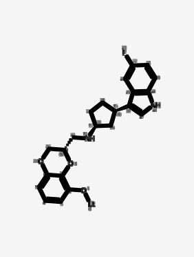 CCOc1cccc2c1O[C@@H](CN[C@H]1CC[C@@H](c3c[nH]c4ccc(F)cc34)C1)CO2